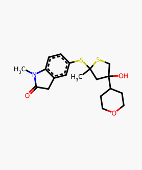 CN1C(=O)Cc2cc(SC3(C)CC(O)(C4CCOCC4)CS3)ccc21